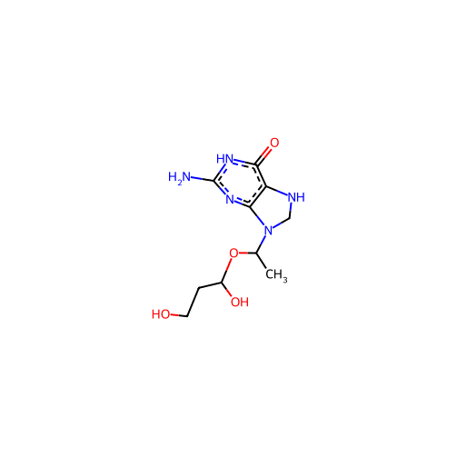 CC(OC(O)CCO)N1CNc2c1nc(N)[nH]c2=O